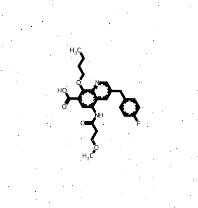 CCCCOc1c(C(=O)O)cc(NC(=O)CCOC)c2cc(Cc3ccc(F)cc3)cnc12